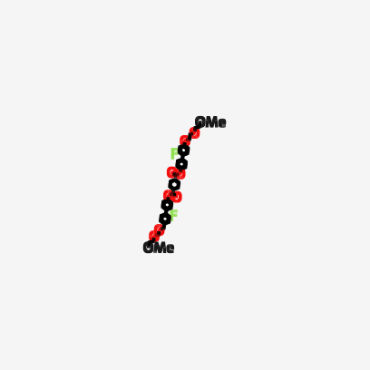 COCCOCCOc1ccc(-c2ccc(OC(=O)[C@H]3CC[C@H](C(=O)Oc4ccc(-c5ccc(COCOCCOC)cc5F)cc4)CC3)cc2)c(F)c1